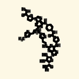 CCNC(=O)[C@@H]1CC[C@H](n2cnc3c(N[C@H]4CC[C@H](NC(=O)N5CC[C@@H](Nc6nc(NCCc7cn(C)cn7)nc7c6ncn7[C@@H]6O[C@H](C(=O)NCC)[C@@H](O)[C@H]6O)C5)CC4)nc(NCCc4cn(C)cn4)nc32)O1